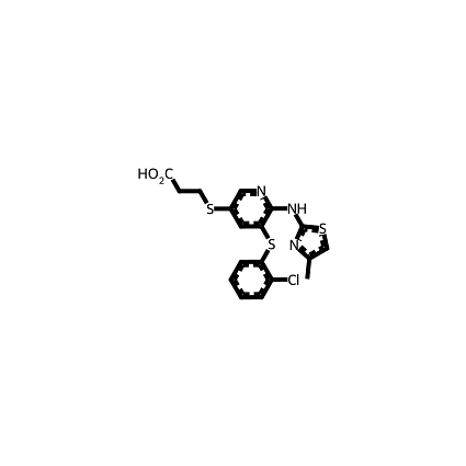 Cc1csc(Nc2ncc(SCCC(=O)O)cc2Sc2ccccc2Cl)n1